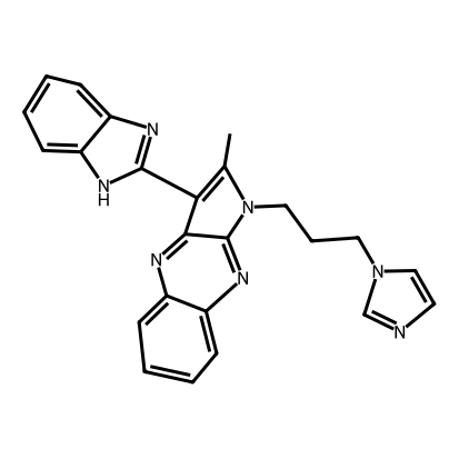 Cc1c(-c2nc3ccccc3[nH]2)c2nc3ccccc3nc2n1CCCn1ccnc1